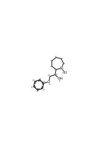 CCN1CCCCCC1C(O)COc1ccccc1